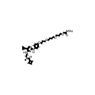 CNC(=O)COCCCOCCCCOCCCOc1ccc(Nc2ncc(C3CC3)c(NCCN(C)C(=O)C3CCC3)n2)cc1